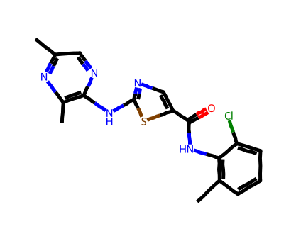 Cc1cnc(Nc2ncc(C(=O)Nc3c(C)cccc3Cl)s2)c(C)n1